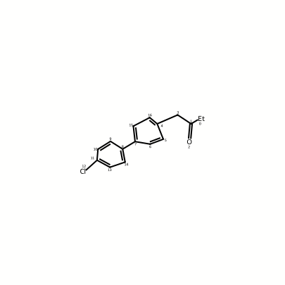 CCC(=O)Cc1ccc(-c2ccc(Cl)cc2)cc1